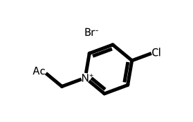 CC(=O)C[n+]1ccc(Cl)cc1.[Br-]